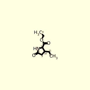 CCOC(=O)C1NC(=O)CC1CC